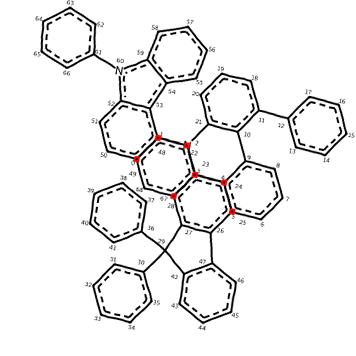 c1ccc(-c2ccccc2-c2c(-c3ccccc3)cccc2N(c2ccc3c(c2)C(c2ccccc2)(c2ccccc2)c2ccccc2-3)c2cccc3c2c2ccccc2n3-c2ccccc2)cc1